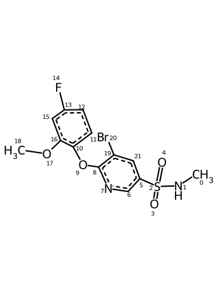 CNS(=O)(=O)c1cnc(Oc2ccc(F)cc2OC)c(Br)c1